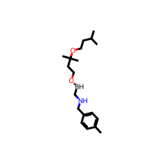 Cc1ccc(CNCBOCCC(C)(C)OCCC(C)C)cc1